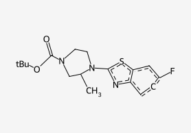 CC1CN(C(=O)OC(C)(C)C)CCN1c1nc2ccc(F)cc2s1